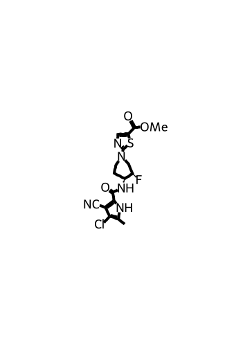 COC(=O)c1cnc(N2CC[C@@H](NC(=O)c3[nH]c(C)c(Cl)c3C#N)[C@@H](F)C2)s1